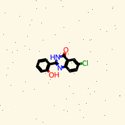 O=c1[nH]c(-c2[c]cccc2O)nc2ccc(Cl)cc12